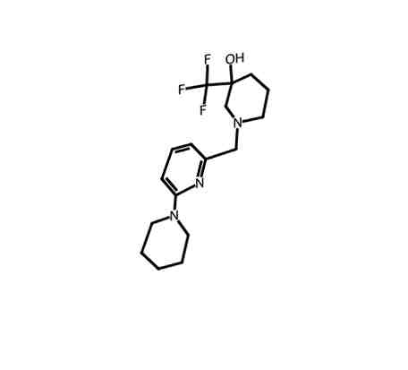 OC1(C(F)(F)F)CCCN(Cc2cccc(N3CCCCC3)n2)C1